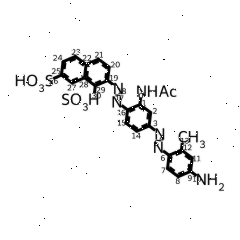 CC(=O)Nc1cc(N=Nc2ccc(N)cc2C)ccc1N=Nc1ccc2ccc(S(=O)(=O)O)cc2c1S(=O)(=O)O